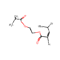 C=C(C)C(=O)OCCOC(=O)C(=CC(CC)CCCC)C(C)=O